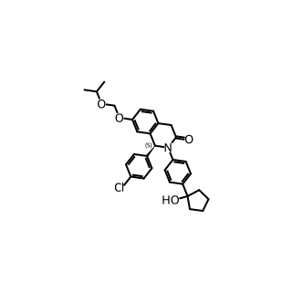 CC(C)OCOc1ccc2c(c1)[C@H](c1ccc(Cl)cc1)N(c1ccc(C3(O)CCCC3)cc1)C(=O)C2